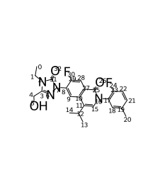 CCn1c(CO)nn(-c2cc3c(C(C)C)cn(-c4cc(C)ccc4F)c(=O)c3cc2F)c1=O